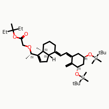 C=C1C(=CC=C2CCC[C@]3(C)C([C@H](C)OCC(=O)OC(C)(CC)CC)=CC[C@@H]23)C[C@@H](O[Si](C)(C)C(C)(C)C)C[C@@H]1O[Si](C)(C)C(C)(C)C